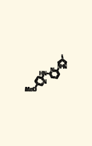 COc1ccc(Nc2cccc(-n3cc(C)cn3)n2)nc1